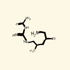 CCC(CN)CC(C)CNC(=N)NC(N)=O